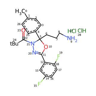 Cc1ccc(C2(CCCN)OC(c3cc(F)ccc3F)=NN2C(=O)C(C)(C)C)cc1.Cl.Cl